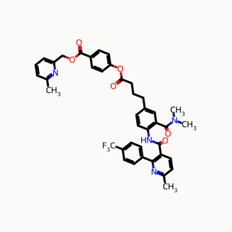 Cc1cccc(COC(=O)c2ccc(OC(=O)CCCc3ccc(NC(=O)c4ccc(C)nc4-c4ccc(C(F)(F)F)cc4)c(C(=O)N(C)C)c3)cc2)n1